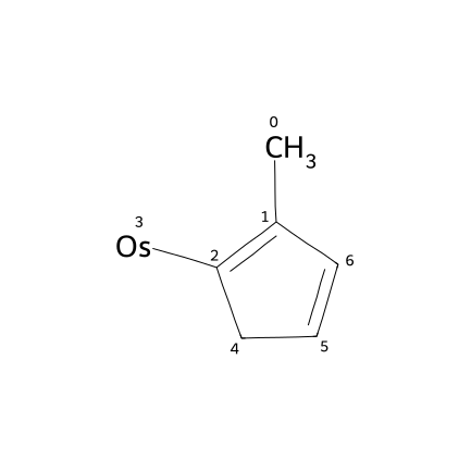 CC1=[C]([Os])CC=C1